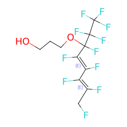 OCCCOC(F)(/C(F)=C(F)/C(F)=C(\F)CF)C(F)(F)C(F)(F)F